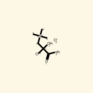 CCCC(=O)C(O)(Cl)C[N+](C)(C)C.[Cl-]